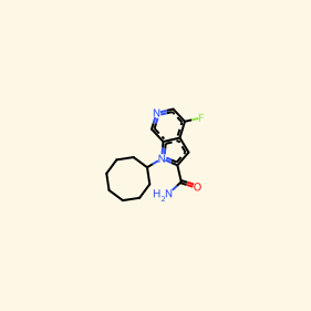 NC(=O)c1cc2c(F)cncc2n1C1CCCCCCC1